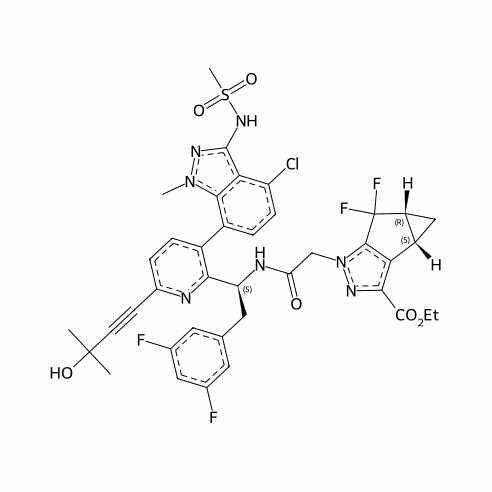 CCOC(=O)c1nn(CC(=O)N[C@@H](Cc2cc(F)cc(F)c2)c2nc(C#CC(C)(C)O)ccc2-c2ccc(Cl)c3c(NS(C)(=O)=O)nn(C)c23)c2c1[C@H]1C[C@H]1C2(F)F